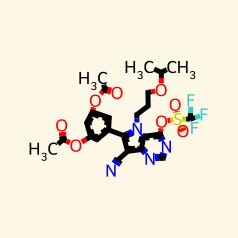 CC(=O)Oc1cc(OC(C)=O)cc(-c2c(C#N)c3ncnc(OS(=O)(=O)C(F)(F)F)c3n2CCCOC(C)C)c1